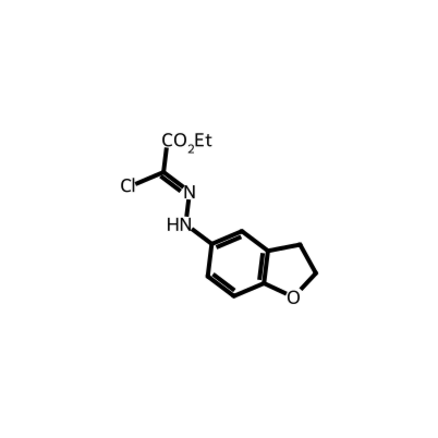 CCOC(=O)C(Cl)=NNc1ccc2c(c1)CCO2